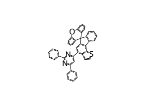 c1ccc(-c2cc(-c3cc4c(c5sccc35)-c3ccccc3C43c4ccccc4Oc4ccccc43)nc(-c3ccccc3)n2)cc1